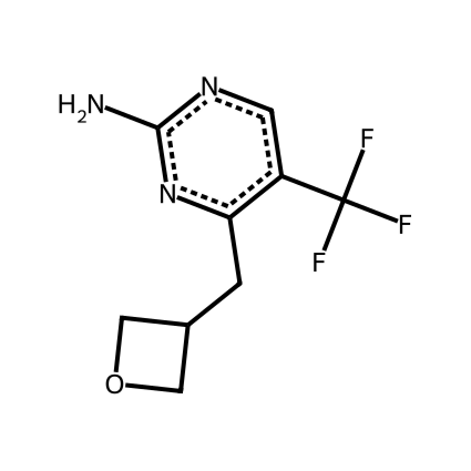 Nc1ncc(C(F)(F)F)c(CC2COC2)n1